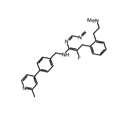 C=N/C=N\C(NCc1ccc(-c2ccnc(C)c2)cc1)=C(\F)Cc1ccccc1CCNC